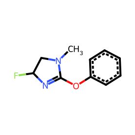 CN1CC(F)N=C1Oc1ccccc1